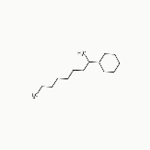 CCCCCCCC(C)C1CCCCC1